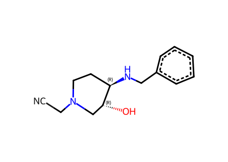 N#CCN1CC[C@@H](NCc2ccccc2)[C@H](O)C1